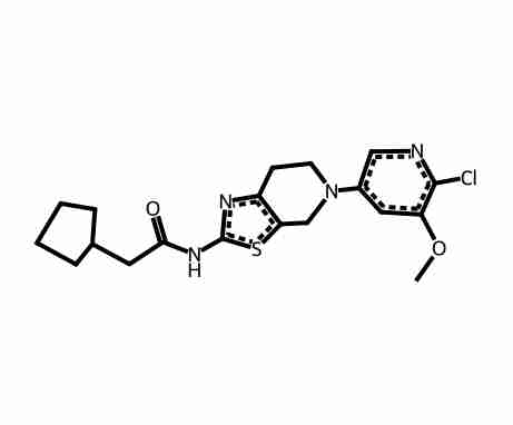 COc1cc(N2CCc3nc(NC(=O)CC4CCCC4)sc3C2)cnc1Cl